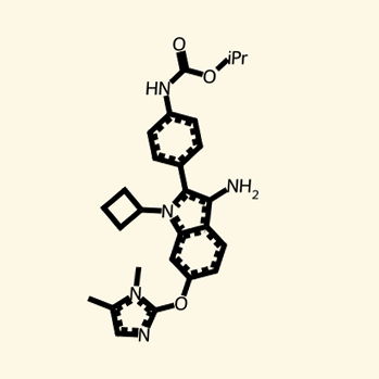 Cc1cnc(Oc2ccc3c(N)c(-c4ccc(NC(=O)OC(C)C)cc4)n(C4CCC4)c3c2)n1C